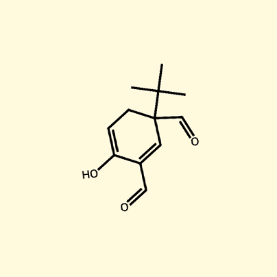 CC(C)(C)C1(C=O)C=C(C=O)C(O)=CC1